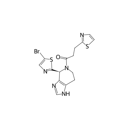 O=C(CCc1nccs1)N1CCc2[nH]cnc2[C@H]1c1ncc(Br)s1